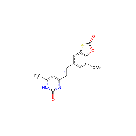 COc1cc(/C=C/c2cc(C(F)(F)F)[nH]c(=O)n2)cc2sc(=O)oc12